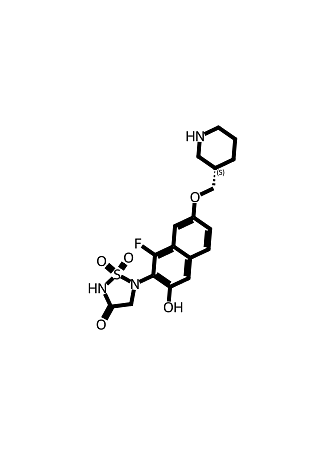 O=C1CN(c2c(O)cc3ccc(OC[C@H]4CCCNC4)cc3c2F)S(=O)(=O)N1